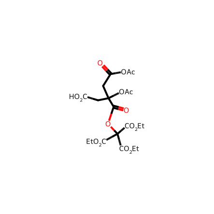 CCOC(=O)C(OC(=O)C(CC(=O)O)(CC(=O)OC(C)=O)OC(C)=O)(C(=O)OCC)C(=O)OCC